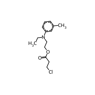 CCN(CCOC(=O)CCCl)c1cccc(C)c1